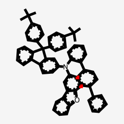 CC(C)(C)c1ccc(C2(c3ccc(C(C)(C)C)cc3)c3ccccc3-c3ccc(N(c4ccc5oc6ccccc6c5c4)c4ccccc4-c4ccc(-c5ccccc5)cc4)cc32)cc1